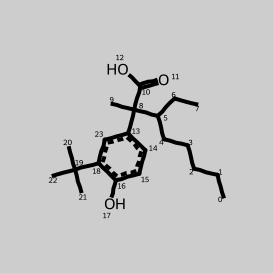 CCCCCC(CC)C(C)(C(=O)O)c1ccc(O)c(C(C)(C)C)c1